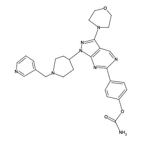 NC(=O)Oc1ccc(-c2ncc3c(N4CCOCC4)nn(C4CCN(Cc5cccnc5)CC4)c3n2)cc1